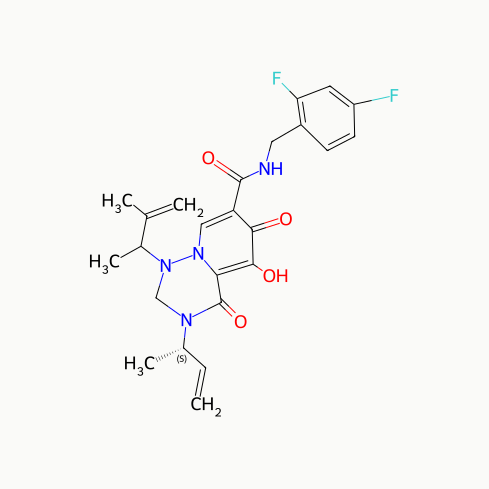 C=C[C@H](C)N1CN(C(C)C(=C)C)n2cc(C(=O)NCc3ccc(F)cc3F)c(=O)c(O)c2C1=O